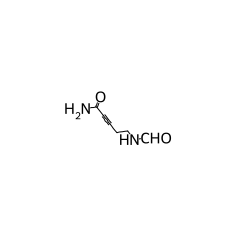 NC(=O)C#CCCNC=O